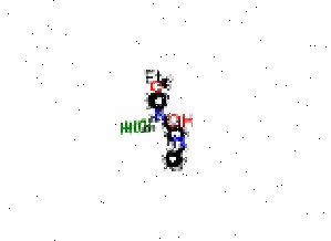 CCC(C)(C)Oc1ccc(N(C)CCC2(O)CCN(Cc3ccccc3)CC2)cc1.Cl.Cl